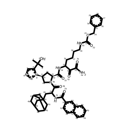 CC(C)(O)c1cnnn1[C@H]1C[C@@H](C(=O)NC(CCCCNC(=O)OCc2ccccc2)C(=O)C(N)=O)N(C(=O)C(CC23CC4CC(CC(C4)C2)C3)NC(=O)c2ccc3ccccc3c2)C1